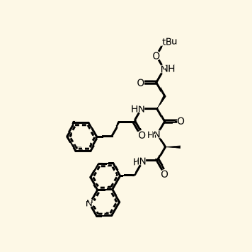 C[C@H](NC(=O)[C@H](CC(=O)NOC(C)(C)C)NC(=O)CCc1ccccc1)C(=O)NCc1cccc2ncccc12